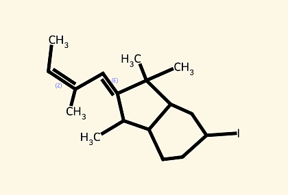 C/C=C(C)\C=C1/C(C)C2CCC(I)CC2C1(C)C